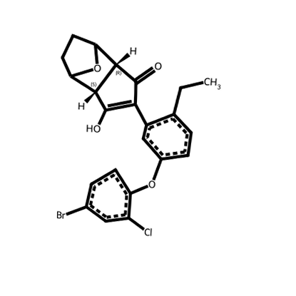 CCc1ccc(Oc2ccc(Br)cc2Cl)cc1C1=C(O)[C@@H]2C3CCC(O3)[C@@H]2C1=O